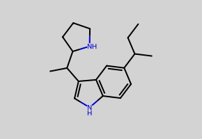 CCC(C)c1ccc2[nH]cc(C(C)C3CCCN3)c2c1